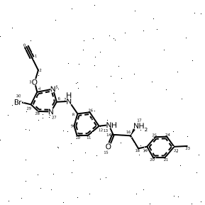 C#CCOc1nc(Nc2cccc(NC(=O)[C@@H](N)Cc3ccc(C)cc3)c2)ncc1Br